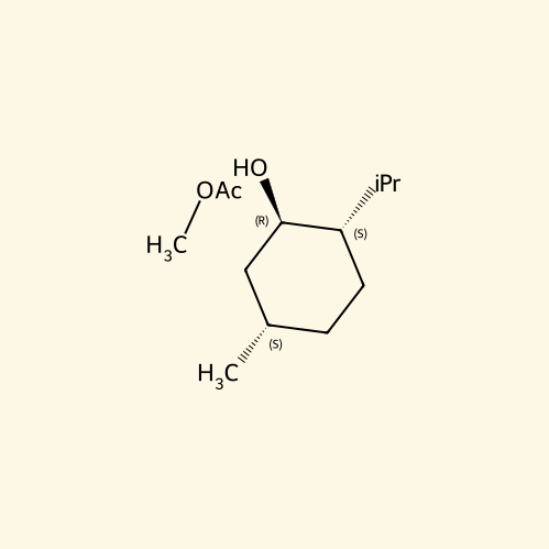 CC(C)[C@@H]1CC[C@H](C)C[C@H]1O.COC(C)=O